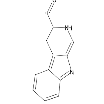 O=[C]C1CC2=c3ccccc3=NC2=CN1